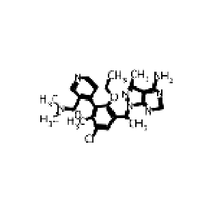 CCOc1c(C(C)n2nc(C)c3c(N)ncnc32)cc(Cl)c(C)c1-c1ccncc1C(=O)N(C)C